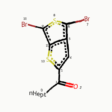 CCCCCCCC(=O)c1cc2c(Br)sc(Br)c2s1